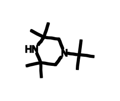 CC1(C)CN(C(C)(C)C)CC(C)(C)N1